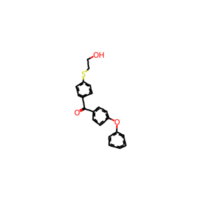 O=C(c1ccc(Oc2ccccc2)cc1)c1ccc(SCCO)cc1